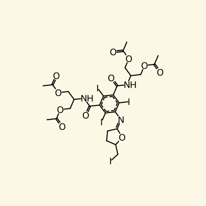 CC(=O)OCC(COC(C)=O)NC(=O)c1c(I)c(/N=C2\CCC(CI)O2)c(I)c(C(=O)NC(COC(C)=O)COC(C)=O)c1I